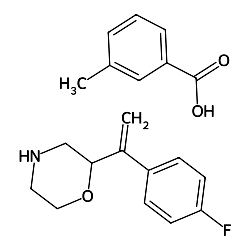 C=C(c1ccc(F)cc1)C1CNCCO1.Cc1cccc(C(=O)O)c1